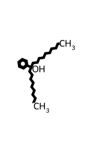 CCCCCCCCCCC(O)(CCCCCCCCCC)c1ccccc1